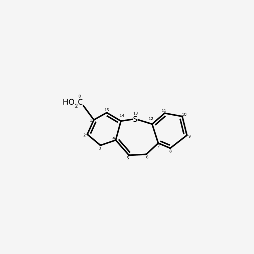 O=C(O)C1=CCC2=CCc3ccccc3SC2=C1